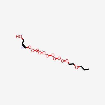 CCCOCCOOOOOOOOOOO/C=C\CO